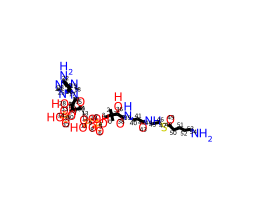 CC(C)(COP(=O)(O)OP(=O)(O)OC[C@H]1O[C@@H](n2cnc3c(N)ncnc32)[C@H](O)[C@@H]1OP(=O)(O)O)C(O)C(=O)NCCC(=O)NCCSC(=O)CCCCN